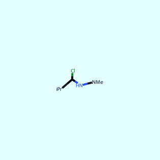 CNNC(Cl)C(C)C